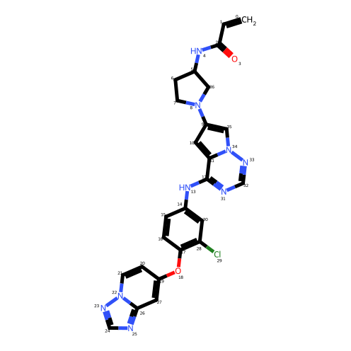 C=CC(=O)NC1CCN(c2cc3c(Nc4ccc(Oc5ccn6ncnc6c5)c(Cl)c4)ncnn3c2)C1